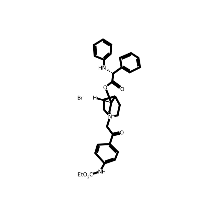 CCOC(=O)Nc1ccc(C(=O)C[N+]23CCC(CC2)[C@@H](OC(=O)[C@H](Nc2ccccc2)c2ccccc2)C3)cc1.[Br-]